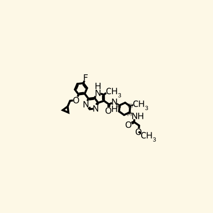 COCC(=O)N[C@@H]1CC[C@@H](NC(=O)c2c(C)[nH]c3c(-c4cc(F)ccc4OCC4CC4)ncnc23)C[C@H]1C